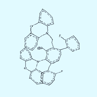 CC(C)(C)c1c(CN2c3ccccc3Oc3ccccc32)c(-c2ccccc2F)cc(-c2ccccc2F)c1N1c2ccccc2Oc2ccccc21